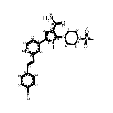 CS(=O)(=O)N1CCN(c2[nH]c(-c3ccnc(C=Cc4ccc(F)cc4)c3)cc2C(N)=O)CC1